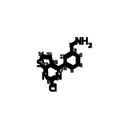 NCc1cccc(-c2nc(Cl)nc3sccc23)c1